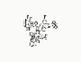 Cc1ccccc1C(=O)N(c1nn(CC(F)(F)F)c2c(-c3ccc(C#CC(C)(C)S(C)(=O)=O)nc3[C@H](Cc3cc(F)cc(F)c3)NC(=O)Cn3nc(C(F)(F)F)c4c3C(F)(F)C3C[C@H]43)ccc(Cl)c12)S(C)(=O)=O